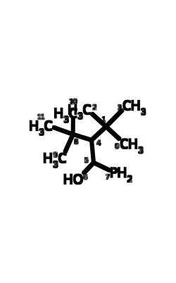 CC(C)(C)C(C(O)P)C(C)(C)C